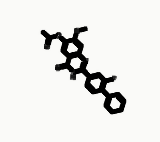 COc1cc2nc(-c3ccc(C4=CCCC=C4)c(F)c3)[nH]c(=O)c2cc1OC(C)=O